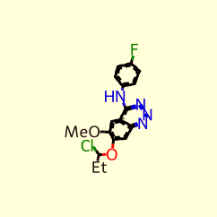 CCC(Cl)Oc1cc2nnnc(Nc3ccc(F)cc3)c2cc1OC